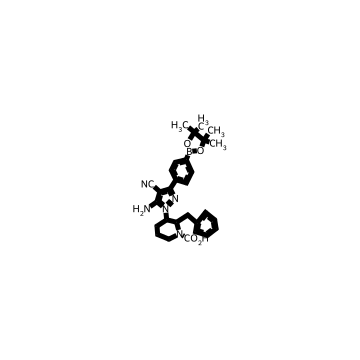 CC1(C)OB(c2ccc(-c3nn(C4CCCN(C(=O)O)C4Cc4ccccc4)c(N)c3C#N)cc2)OC1(C)C